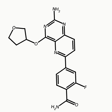 NC(=O)c1ccc(-c2ccc3nc(N)nc(OC4CCOC4)c3n2)cc1F